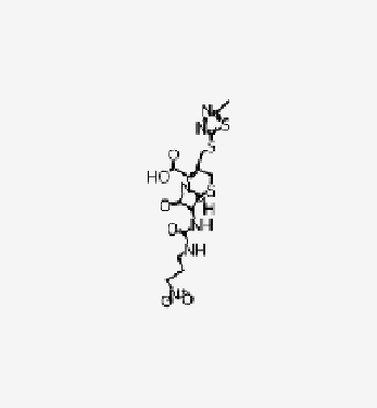 Cc1nnc(SCC2=C(C(=O)O)N3C(=O)C(NC(=O)NCCC[N+](=O)[O-])[C@@H]3SC2)s1